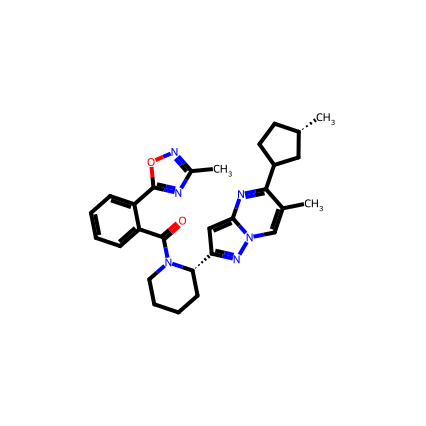 Cc1noc(-c2ccccc2C(=O)N2CCCC[C@H]2c2cc3nc(C4CC[C@H](C)C4)c(C)cn3n2)n1